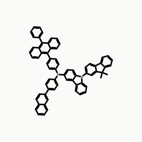 CC1(C)c2ccccc2-c2ccc(-n3c4ccccc4c4cc(N(c5ccc(-c6ccc7ccccc7c6)cc5)c5ccc(-c6c7ccccc7c(-c7ccccc7)c7ccccc67)cc5)ccc43)cc21